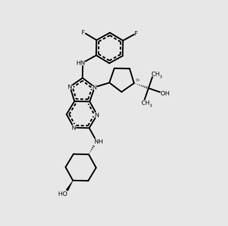 CC(C)(O)[C@H]1CCC(n2c(Nc3ccc(F)cc3F)nc3cnc(N[C@H]4CC[C@H](O)CC4)nc32)C1